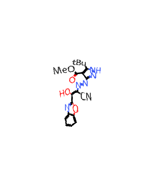 COC(=O)c1c(/N=N/C(C#N)=C(\O)c2nc3ccccc3o2)n[nH]c1C(C)(C)C